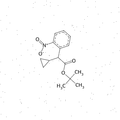 CC(C)(C)OC(=O)C(c1ccccc1[N+](=O)[O-])C1CC1